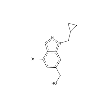 OCc1cc(Br)c2cnn(CC3CC3)c2c1